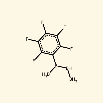 BBB(B)c1c(F)c(F)c(F)c(F)c1F